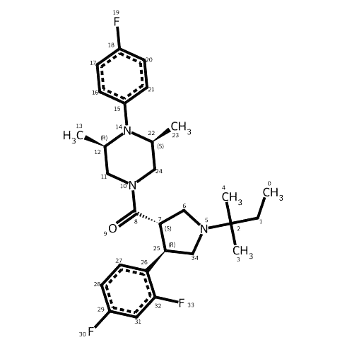 CCC(C)(C)N1C[C@@H](C(=O)N2C[C@@H](C)N(c3ccc(F)cc3)[C@@H](C)C2)[C@H](c2ccc(F)cc2F)C1